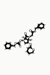 O=C(CN1C(=O)[C@@H]2[C@H]1[C@@H](OC1CCCCO1)CN2OC(=O)OCc1ccccc1)OCc1ccccc1